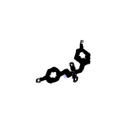 O=S(=O)(/C=C/c1ccc(Cl)cc1)Cc1ccc(F)cc1